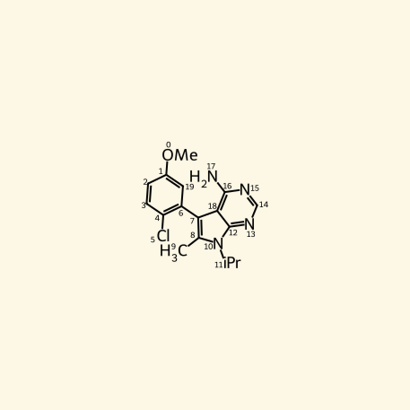 COc1ccc(Cl)c(-c2c(C)n(C(C)C)c3ncnc(N)c23)c1